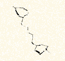 Oc1ccc(CCNC[C@H](O)c2cncc(Cl)c2)cc1